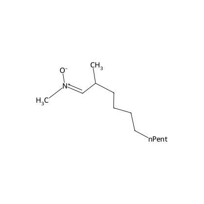 CCCCCCCCCC(C)C=[N+](C)[O-]